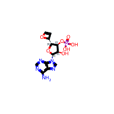 Nc1ncnc2c1ncn2[C@@H]1O[C@H](C2C=CO2)[C@@H](OP(=O)(O)O)[C@H]1O